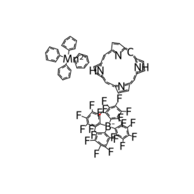 C1=Cc2cc3ccc(cc4nc(cc5ccc(cc1n2)[nH]5)C=C4)[nH]3.Fc1c(F)c(F)c([B-](c2c(F)c(F)c(F)c(F)c2F)(c2c(F)c(F)c(F)c(F)c2F)c2c(F)c(F)c(F)c(F)c2F)c(F)c1F.c1cc[c]([Mn-2]([c]2ccccc2)([c]2ccccc2)[c]2ccccc2)cc1